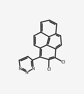 Clc1c(Cl)c2ccc3cccc4ccc(c1-c1ccnnn1)c2c34